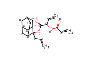 C=CCC1(OC(=O)C(C=C)OC(=O)C=C)C2CC3CC(C2)CC1C3